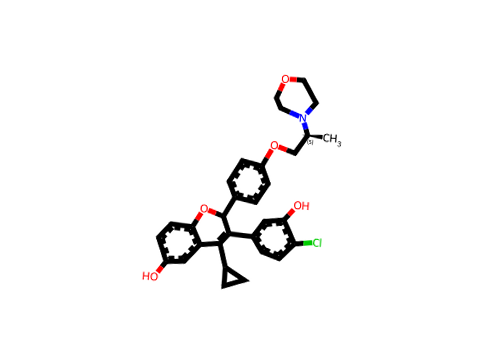 C[C@@H](COc1ccc(C2Oc3ccc(O)cc3C(C3CC3)=C2c2ccc(Cl)c(O)c2)cc1)N1CCOCC1